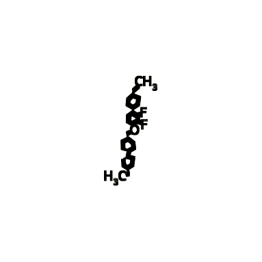 CCC[C@H]1CC[C@H](c2ccc(OC[C@H]3CC[C@H]([C@H]4CC[C@H](CC)CC4)CC3)c(F)c2F)CC1